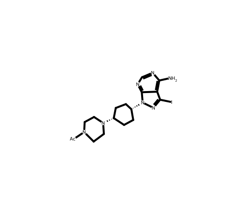 CC(=O)N1CCN([C@H]2CC[C@@H](n3nc(I)c4c(N)ncnc43)CC2)CC1